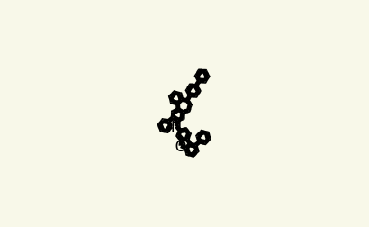 c1ccc(-c2ccc(C3CCc4cc5c(cc4-c4ccccc43)c3ccccc3n5-c3ccc4c(c3)oc3cccc(-c5ccccc5)c34)cc2)cc1